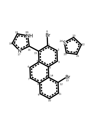 Brc1ccc2c(ccc3cccc(Br)c32)c1-c1ncc[nH]1.c1ccsc1